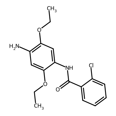 CCOc1cc(NC(=O)c2ccccc2Cl)c(OCC)cc1N